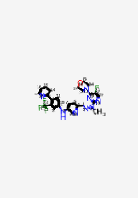 CN(/N=C/c1ccc(Nc2ccc(-c3ccccn3)c(C(F)(F)F)c2)cn1)c1ncc(F)c(N2CCOCC2)n1